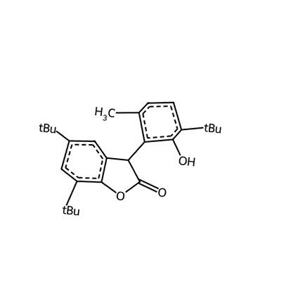 Cc1ccc(C(C)(C)C)c(O)c1C1C(=O)Oc2c1cc(C(C)(C)C)cc2C(C)(C)C